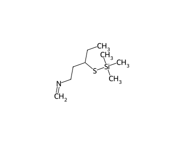 C=NCCC(CC)S[Si](C)(C)C